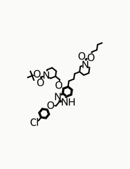 CCCCOC(=O)N1CCCC(CCCc2ccc3[nH]c(COc4ccc(Cl)cc4)nc3c2OCC2CCCN(C(=O)OC(C)(C)C)C2)C1